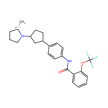 C[C@H]1CCCN1C1CCC(c2ccc(NC(=O)c3ccccc3OC(F)(F)F)cc2)C1